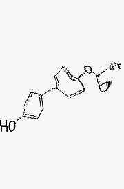 CC(C)C(=O)Oc1ccc(-c2ccc(O)cc2)cc1